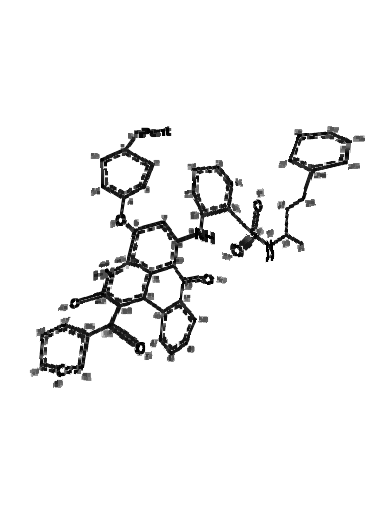 CCCCCc1ccc(Oc2cc(Nc3ccccc3S(=O)(=O)NC(C)CCc3ccccc3)c3c4c(c(C(=O)c5ccccc5)c(=O)[nH]c24)-c2ccccc2C3=O)cc1